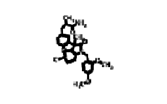 COc1ccc(CN2C(=O)C(C)(c3cc(CC(C)C(N)=O)ccc3Cl)c3cc(Cl)ccc32)c(OC)c1